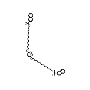 O=C(/C=C\C(=O)OCCCCCCCCCCCCOC(=O)c1ccc2ccccc2c1)OCCCCCCCCCCCCOC(=O)c1ccc2ccccc2c1